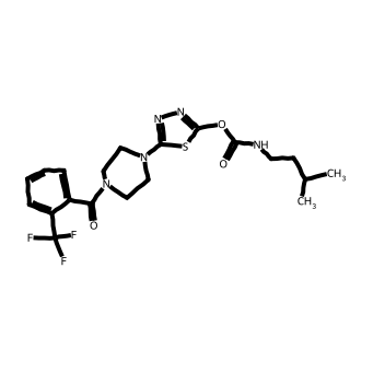 CC(C)CCNC(=O)Oc1nnc(N2CCN(C(=O)c3ccccc3C(F)(F)F)CC2)s1